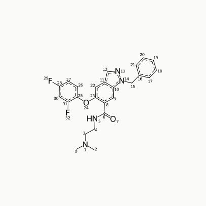 CN(C)CCNC(=O)c1cc2c(cnn2Cc2ccccc2)cc1Oc1ccc(F)cc1F